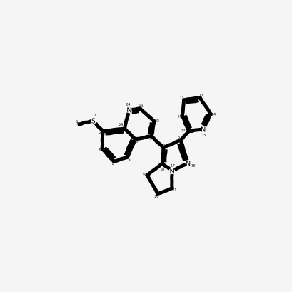 CSc1cccc2c(-c3c(-c4ccccn4)nn4c3CCC4)ccnc12